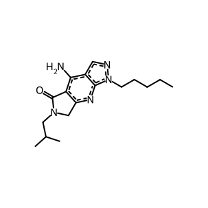 CCCCCn1ncc2c(N)c3c(nc21)CN(CC(C)C)C3=O